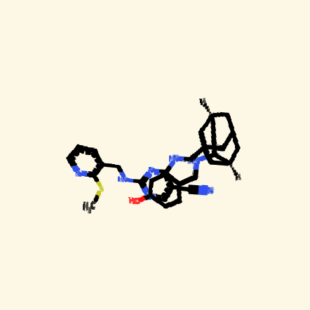 CSc1ncccc1CNc1ncc(C#N)c(NCC23CC4C[C@H](C2)C(NCC2CCC(O)CC2)[C@@H](C4)C3)n1